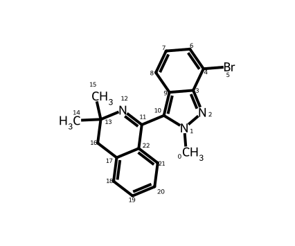 Cn1nc2c(Br)cccc2c1C1=NC(C)(C)Cc2ccccc21